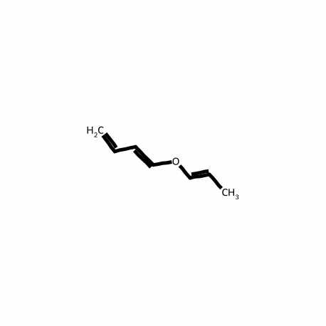 C=C/C=C/O/C=C/C